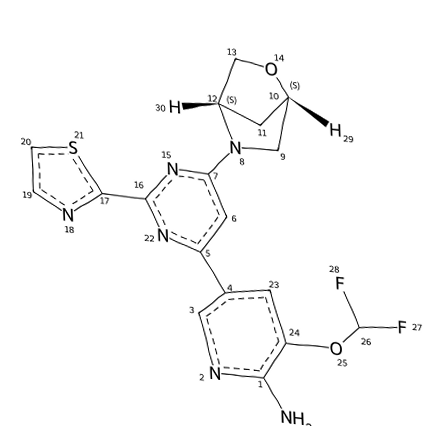 Nc1ncc(-c2cc(N3C[C@@H]4C[C@H]3CO4)nc(-c3nccs3)n2)cc1OC(F)F